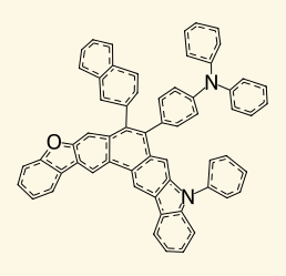 c1ccc(N(c2ccccc2)c2ccc(-c3c(-c4ccc5ccccc5c4)c4cc5oc6ccccc6c5cc4c4cc5c6ccccc6n(-c6ccccc6)c5cc34)cc2)cc1